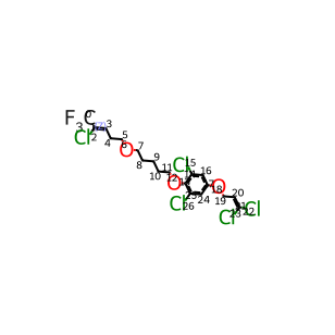 FC(F)(F)/C(Cl)=C/CCOCCCCCOc1c(Cl)cc(OCC=C(Cl)Cl)cc1Cl